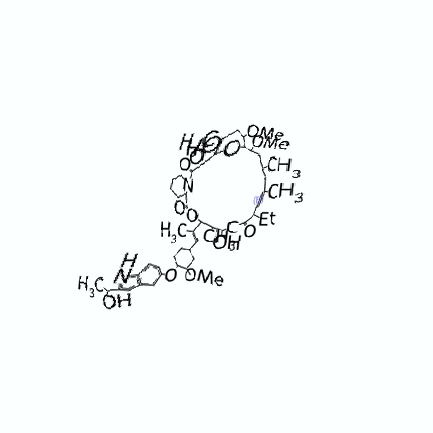 CCC1/C=C(\C)CC(C)CC(OC)C2OC(O)(C(=O)C(=O)N3CCCCC3C(=O)OC(C(C)=CC3CCC(Oc4ccc5[nH]c(C(C)O)cc5c4)C(OC)C3)C(C)C(O)CC1=O)C(C)CC2OC